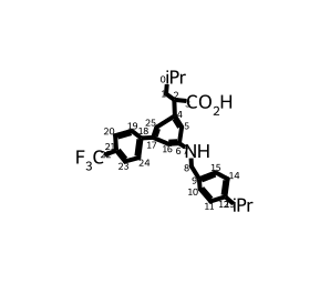 CC(C)CC(C(=O)O)c1cc(NCc2ccc(C(C)C)cc2)cc(-c2ccc(C(F)(F)F)cc2)c1